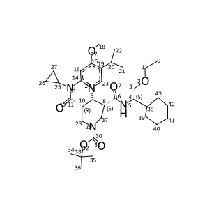 CCOC[C@@H](NC(=O)[C@H]1C[C@@H](C(=O)N(c2cc(OC)c(C(C)C)cn2)C2CC2)CN(C(=O)OC(C)(C)C)C1)C1CCCCC1